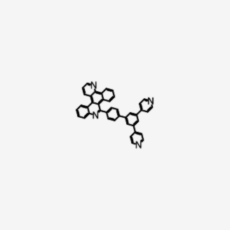 c1ccc2c(c1)nc(-c1ccc(-c3cc(-c4ccncc4)cc(-c4ccncc4)c3)cc1)c1c3ccccc3c3ncccc3c21